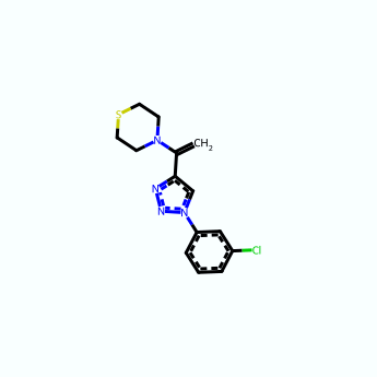 C=C(c1cn(-c2cccc(Cl)c2)nn1)N1CCSCC1